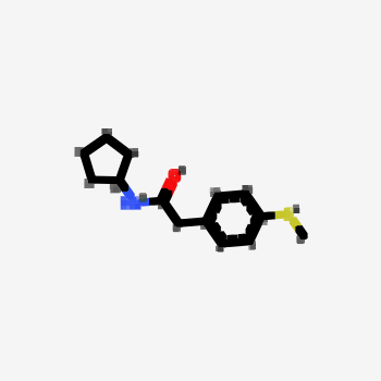 CSc1ccc(CC(=O)NC2CCCC2)cc1